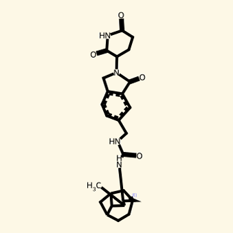 CC1C(NC(=O)NCc2ccc3c(c2)C(=O)N(C2CCC(=O)NC2=O)C3)C/C=C2\CCC3CC(C2)C31